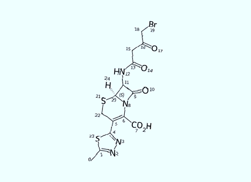 Cc1nnc(C2=C(C(=O)O)N3C(=O)C(NC(=O)CC(=O)CBr)[C@@H]3SC2)s1